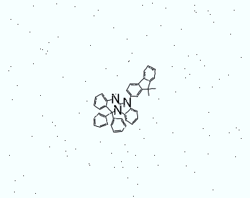 CC1(C)c2ccccc2-c2ccc(N3C4=Nc5ccccc5C(c5ccccc5)(c5ccccc5)N4c4ccccc43)cc21